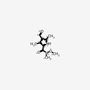 CON(C)C(=O)c1[nH]c(C)c(C=O)c1C